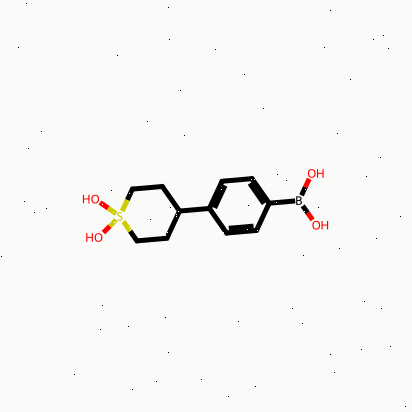 OB(O)c1ccc(C2CCS(O)(O)CC2)cc1